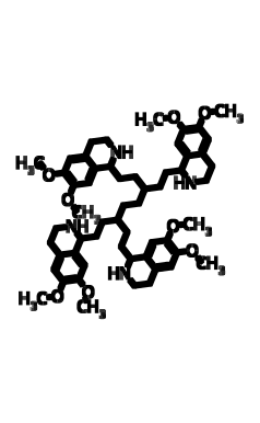 COc1cc2c(cc1OC)C(CCC(CCC(CCC1NCCc3cc(OC)c(OC)cc31)CCC1NCCc3cc(OC)c(OC)cc31)CCC1NCCc3cc(OC)c(OC)cc31)NCC2